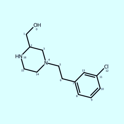 OCC1CN(CCc2cccc(Cl)c2)CCN1